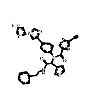 C#Cc1nc(C(=O)N(c2ccc(-c3cnco3)cc2)C(C(=O)NCCc2ccccc2)c2cc[cH-]c2)cs1.[Fe+2].c1cc[cH-]c1